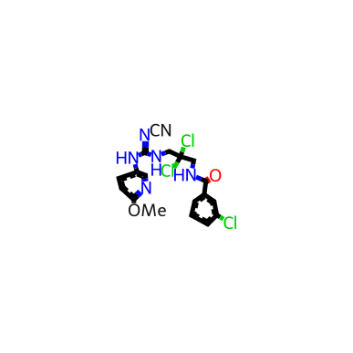 COc1ccc(NC(=NC#N)NCC(Cl)(Cl)CNC(=O)c2cccc(Cl)c2)cn1